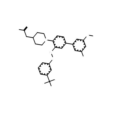 COc1cc(F)cc(-c2ccc(N3CCC(CC(=O)O)CC3)c(NSc3cccc(C(F)(F)F)c3)c2)c1